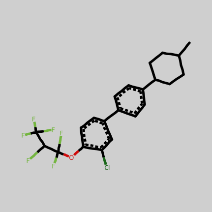 CC1CCC(c2ccc(-c3ccc(OC(F)(F)C(F)C(F)(F)F)c(Cl)c3)cc2)CC1